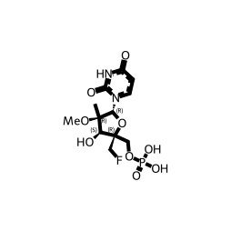 CO[C@]1(C)[C@H](O)[C@@](CF)(COP(=O)(O)O)O[C@H]1n1ccc(=O)[nH]c1=O